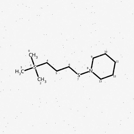 CS(C)(C)CCCSN1CCCCC1